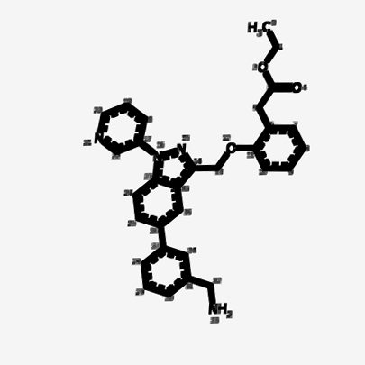 CCOC(=O)Cc1ccccc1OCc1nn(-c2cccnc2)c2ccc(-c3cccc(CN)c3)cc12